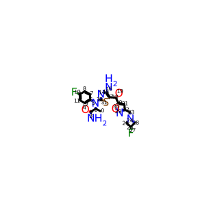 CC(C(N)=O)N(c1ccc(F)cc1)c1nc(N)c(C(=O)c2cc(CN3CC(F)C3)no2)s1